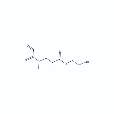 C=CC(=O)C(C)CCC(=O)OCCO